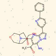 CC(=O)c1c(C2CC3COCC(C2)N3C(=O)CO)nc2c(-c3ccc(-c4ccccc4)nc3)cnn2c1N